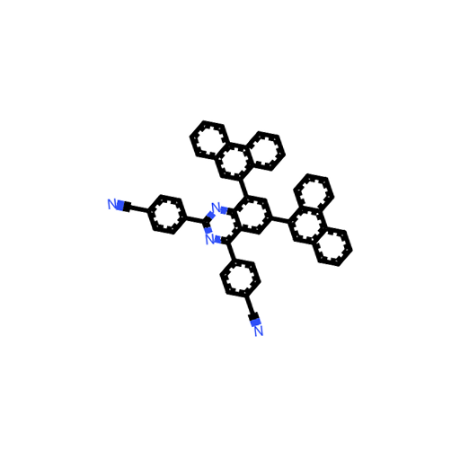 N#Cc1ccc(-c2nc(-c3ccc(C#N)cc3)c3cc(-c4cc5ccccc5c5ccccc45)cc(-c4cc5ccccc5c5ccccc45)c3n2)cc1